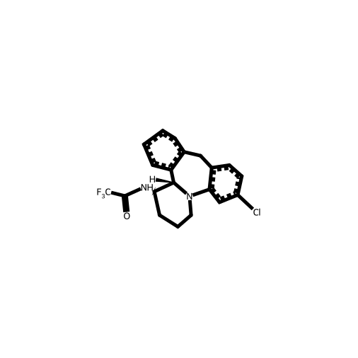 O=C(N[C@@H]1CCCN2c3cc(Cl)ccc3Cc3ccccc3[C@@H]12)C(F)(F)F